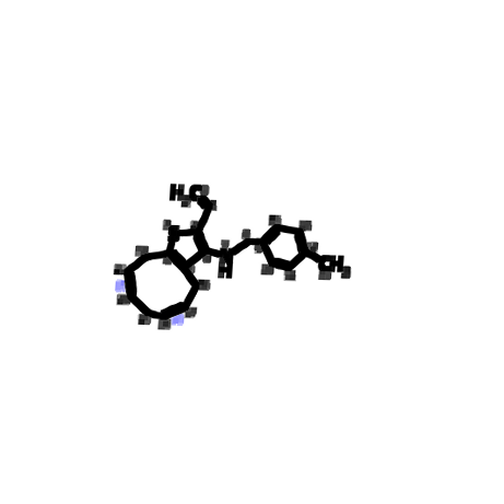 C=Cc1sc2c(c1NCc1ccc(C)cc1)C/C=C\C/C=C\C2